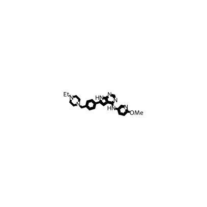 CCN1CCN(Cc2ccc(-c3cc4c(Nc5ccc(OC)nc5)ncnc4[nH]3)cc2)CC1